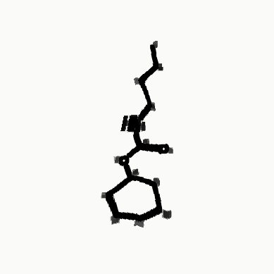 CCC[CH]NC(=O)OC1CCCCC1